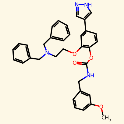 COc1cccc(CNC(=O)Oc2ccc(-c3cn[nH]c3)cc2OCCN(Cc2ccccc2)Cc2ccccc2)c1